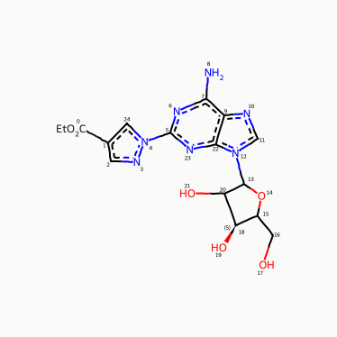 CCOC(=O)c1cnn(-c2nc(N)c3ncn(C4OC(CO)[C@@H](O)C4O)c3n2)c1